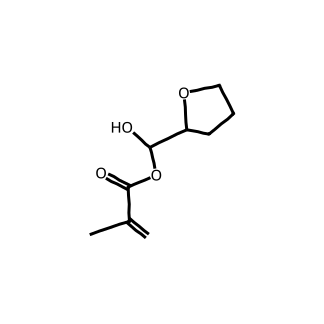 C=C(C)C(=O)OC(O)C1CCCO1